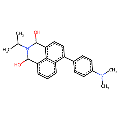 CC(C)N1C(O)c2cccc3c(-c4ccc(N(C)C)cc4)ccc(c23)C1O